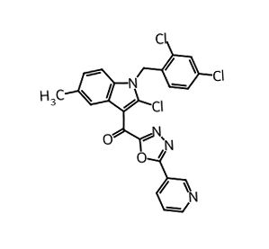 Cc1ccc2c(c1)c(C(=O)c1nnc(-c3cccnc3)o1)c(Cl)n2Cc1ccc(Cl)cc1Cl